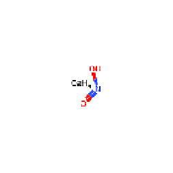 O=NO.[GaH3]